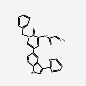 C=CC(=O)Nc1cc(-c2cnc3[nH]cc(-c4ccncn4)c3c2)cn(Cc2ccccc2)c1=O